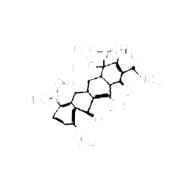 COc1ccc(N(C)C)c2c1C(=O)C1=C(O)C3C(=O)C(C(N)=O)=C(O)C(C)(N(C)C)C3C[C@]1(C)C2